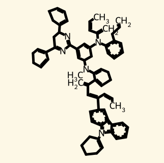 C=CCc1ccccc1N(C(=C)/C=C\C)C1=CC(C2=NC(C3=CC=CCC3)CC(C3=CCCC=C3)=N2)=CC(N(C)C2=CCCC=C2C(=C)/C=C(\C=C/C)c2ccc3c(c2)c2ccccc2n3C2=CCCCC2)C1